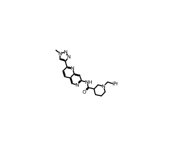 CC(C)CN1CCCC(C(=O)Nc2cc3nc(-c4cn(C)nn4)ccc3cn2)C1